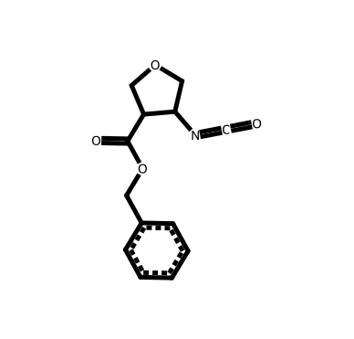 O=C=NC1COCC1C(=O)OCc1ccccc1